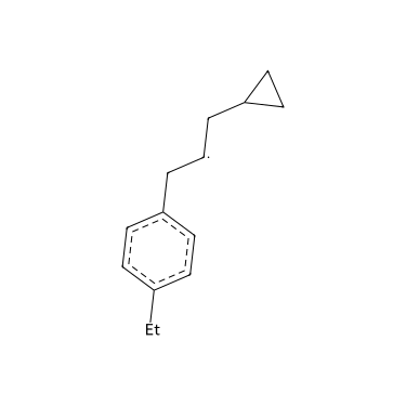 CCc1ccc(C[CH]CC2CC2)cc1